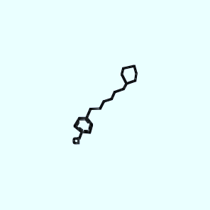 Clc1ccc(CCCCCCC2CCCCC2)cc1